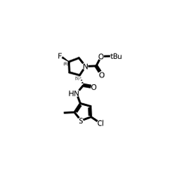 Cc1sc(Cl)cc1NC(=O)[C@@H]1C[C@@H](F)CN1C(=O)OC(C)(C)C